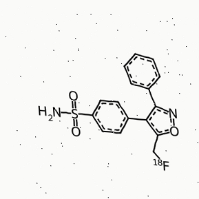 NS(=O)(=O)c1ccc(-c2c(-c3ccccc3)noc2C[18F])cc1